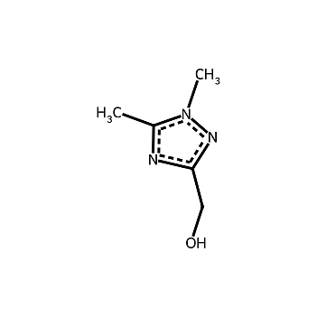 Cc1nc(CO)nn1C